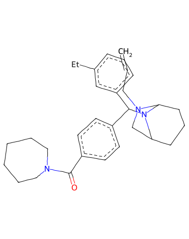 C=CCN1CC2CCCC1N2C(c1ccc(C(=O)N2CCCCCC2)cc1)c1cccc(CC)c1